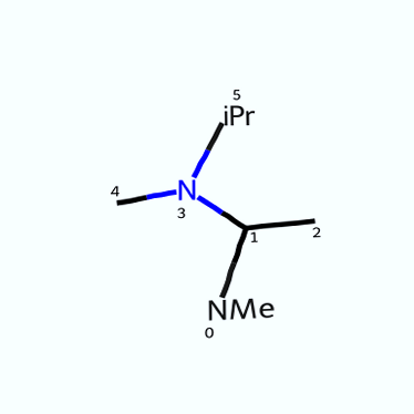 CNC(C)N(C)C(C)C